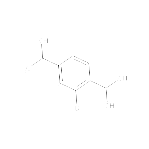 C[C](C)c1ccc(C(C)C)c(Br)c1